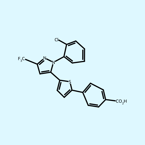 O=C(O)c1ccc(-c2ccc(-c3cc(C(F)(F)F)nn3-c3ccccc3Cl)s2)cc1